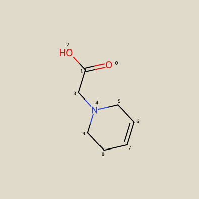 O=C(O)CN1CC=CCC1